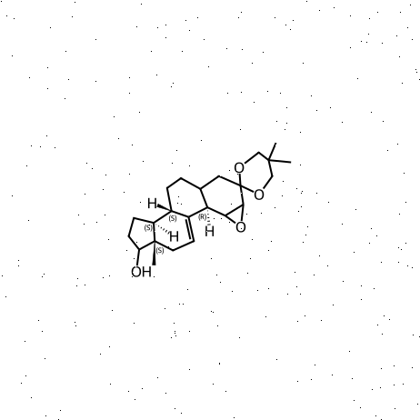 CC1(C)COC2(CC3CC[C@@H]4C(=CC[C@]5(C)C(O)CC[C@@H]45)[C@@H]3C3OC32)OC1